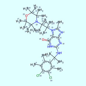 Bc1c(B)c(C(B)(B)Nc2nc3nc(B)n(C(B)(B)C(B)(B)N4C(B)(B)C(B)(B)OC(B)(B)C4(B)B)c3c(=O)[nH]2)c(B)c(Cl)c1Cl